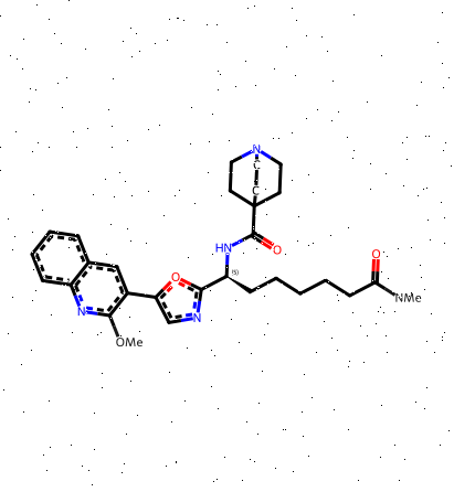 CNC(=O)CCCCC[C@H](NC(=O)C12CCN(CC1)CC2)c1ncc(-c2cc3ccccc3nc2OC)o1